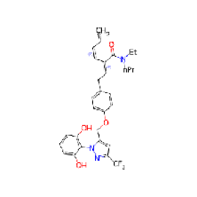 C=C/C=C\C(=C/Cc1ccc(OCc2cc(C(F)(F)F)nn2-c2c(O)cccc2O)cc1)C(=O)N(CC)CCC